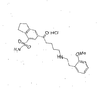 COc1ccccc1CCNCCCCC(=O)c1cc2c(c(S(N)(=O)=O)c1)CCC2.Cl